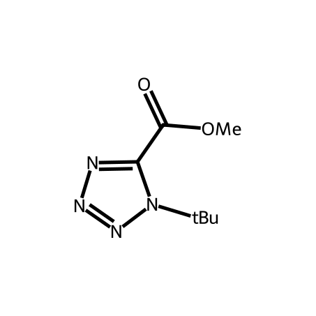 COC(=O)c1nnnn1C(C)(C)C